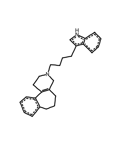 c1ccc2c(c1)CCCC1=C2CCN(CCCCc2c[nH]c3ccccc23)C1